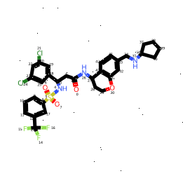 O=C(CC(NS(=O)(=O)c1cccc(C(F)(F)F)c1)c1cc(Cl)cc(Cl)c1)NC1CCOc2cc(CNC3CCCC3)ccc21